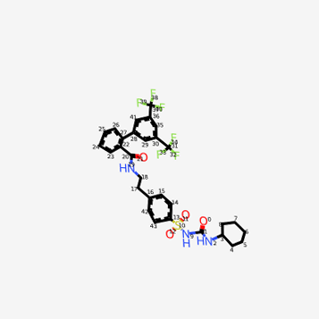 O=C(NC1CCCCC1)NS(=O)(=O)c1ccc(CCNC(=O)c2ccccc2-c2cc(C(F)(F)F)cc(C(F)(F)F)c2)cc1